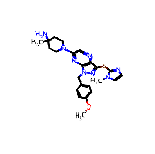 COc1ccc(Cn2nc(Sc3nccn3C)c3ncc(N4CCC(C)(N)CC4)nc32)cc1